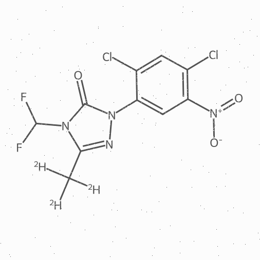 [2H]C([2H])([2H])c1nn(-c2cc([N+](=O)[O-])c(Cl)cc2Cl)c(=O)n1C(F)F